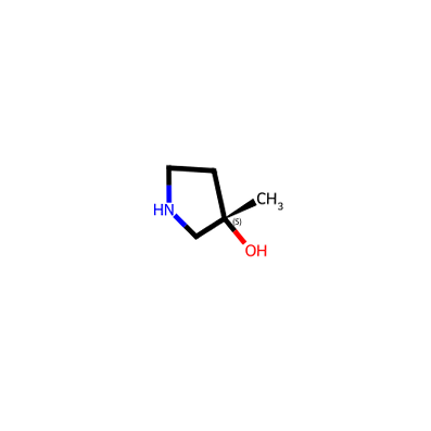 C[C@]1(O)CCNC1